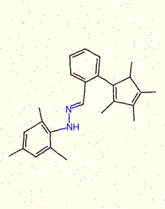 CC1=C(C)C(C)C(c2ccccc2C=NNc2c(C)cc(C)cc2C)=C1C